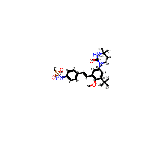 COc1c(C=Cc2ccc(NS(C)(=O)=O)cc2)cc(N2CCC(C)(C)NC2=O)cc1C(C)(C)C